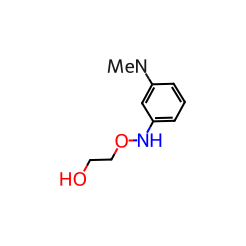 CNc1cccc(NOCCO)c1